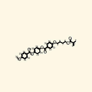 C=C(C)C(=O)OCCCCOc1ccc(C(=O)OC2=CC=C(OC(=O)c3ccc(OC)cc3)CC2)cc1